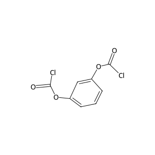 O=C(Cl)Oc1cccc(OC(=O)Cl)c1